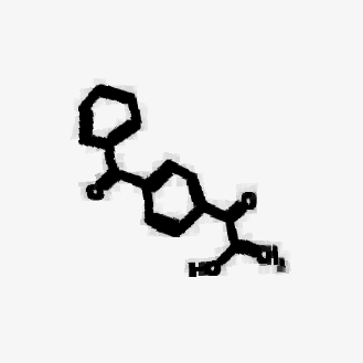 C=C(O)C(=O)c1ccc(C(=O)c2ccccc2)cc1